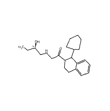 CC[C@@H](O)CNCC(=O)N1CCc2ccccc2C1C1CCCCC1